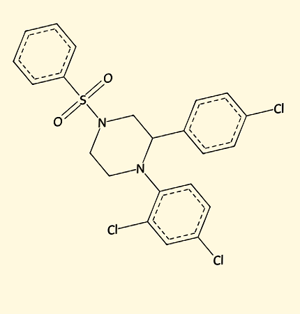 O=S(=O)(c1ccccc1)N1CCN(c2ccc(Cl)cc2Cl)C(c2ccc(Cl)cc2)C1